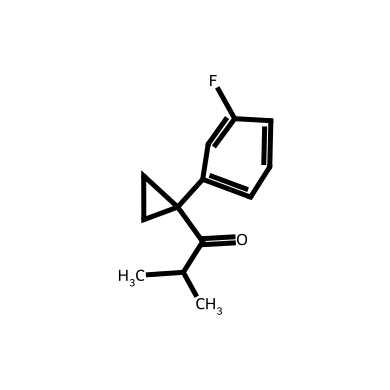 CC(C)C(=O)C1(c2cccc(F)c2)CC1